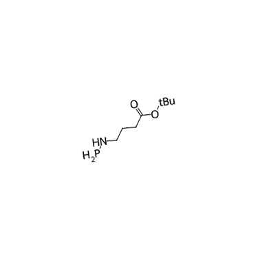 CC(C)(C)OC(=O)CCCNP